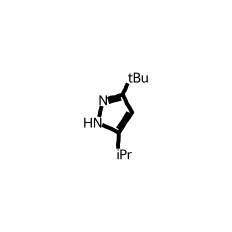 CC(C)c1cc(C(C)(C)C)n[nH]1